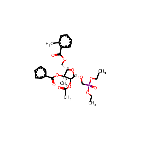 CCOP(=O)(CO[C@H]1O[C@@H](COC(=O)c2ccccc2C)[C@](C)(OC(=O)c2ccccc2)C1OC(C)=O)OCC